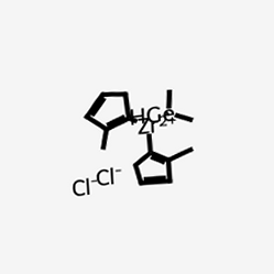 CC1=[C]([Zr+2]([C]2=C(C)C=CC2)[GeH]([CH3])[CH3])CC=C1.[Cl-].[Cl-]